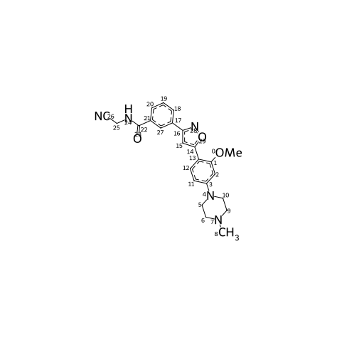 COc1cc(N2CCN(C)CC2)ccc1-c1cc(-c2cccc(C(=O)NCC#N)c2)no1